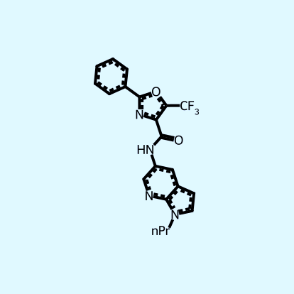 CCCn1ccc2cc(NC(=O)c3nc(-c4ccccc4)oc3C(F)(F)F)cnc21